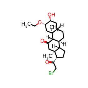 CCO[C@H]1C[C@@]2(C)[C@@H](CC[C@H]3[C@@H]4CC[C@H](C(=O)CBr)[C@@]4(C)CC(=O)[C@@H]32)C[C@@H]1O